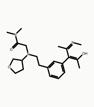 C/N=C(C)\C(=C(\C)O)c1cccc(CCN(CC(=O)N(C)C)C2CCOC2)c1